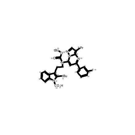 CC(C)c1cnn2c(N(CCc3c(C(C)(C)C)n(C(=O)O)c4ccccc34)C(=O)OC(C)(C)C)cc(-c3cccc(F)c3)nc12